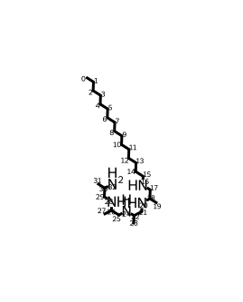 CCCCCCCCCCCCCCCCNCC(C)NCC(C)NCC(C)NCC(C)N